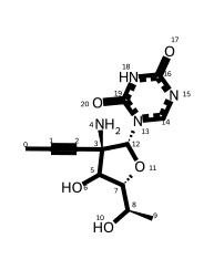 CC#C[C@@]1(N)C(O)[C@@H]([C@@H](C)O)O[C@H]1n1cnc(=O)[nH]c1=O